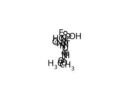 C#Cc1c(F)ccc2cc(O)cc(-c3ncc4c(N5CCCOCC5)nc(OC[C@]56CCC[C@H]5N(CC5COC(C)(C)OC5)CCC6)nc4c3F)c12